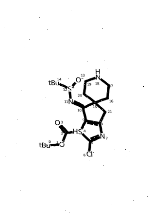 CC(C)(C)OC(=O)[SH]1C(Cl)=NC2=C1C(=N[S+]([O-])C(C)(C)C)C1(CCNCC1)C2